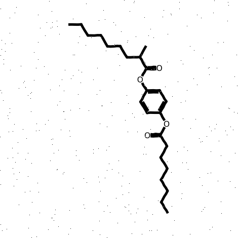 CCCCCCCC(=O)Oc1ccc(OC(=O)C(C)CCCCCCC)cc1